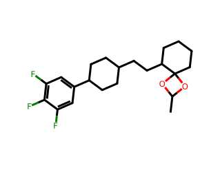 CC1OC2(CCCCC2CCC2CCC(c3cc(F)c(F)c(F)c3)CC2)O1